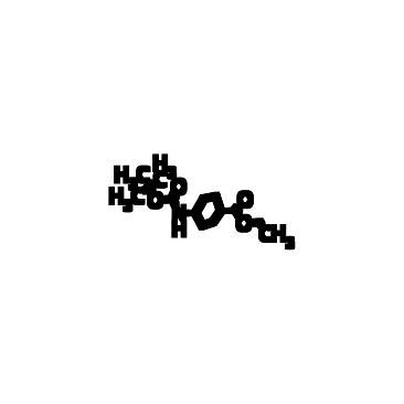 CCOC(=O)[C@H]1CC[C@@H](NC(=O)OC(C)(C)C)CC1